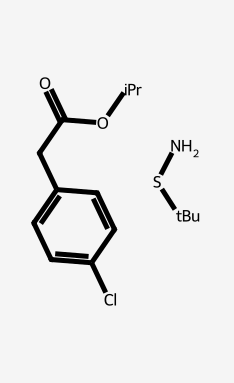 CC(C)(C)SN.CC(C)OC(=O)Cc1ccc(Cl)cc1